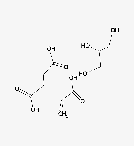 C=CC(=O)O.O=C(O)CCC(=O)O.OCC(O)CO